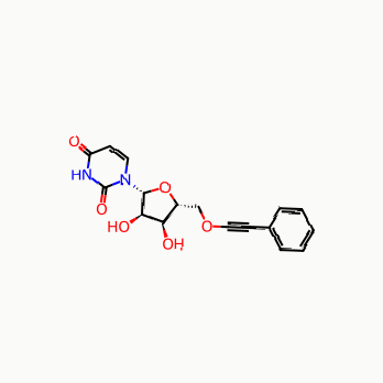 O=c1ccn([C@@H]2O[C@H](COC#Cc3ccccc3)[C@@H](O)[C@H]2O)c(=O)[nH]1